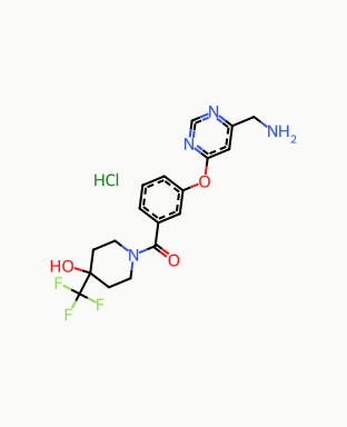 Cl.NCc1cc(Oc2cccc(C(=O)N3CCC(O)(C(F)(F)F)CC3)c2)ncn1